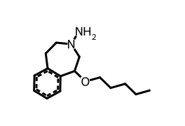 CCCCCOC1CN(N)CCc2ccccc21